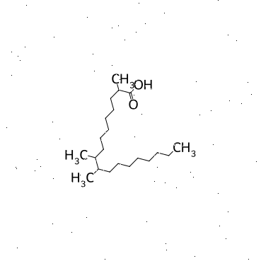 CCCCCCCCC(C)C(C)CCCCCCC(C)C(=O)O